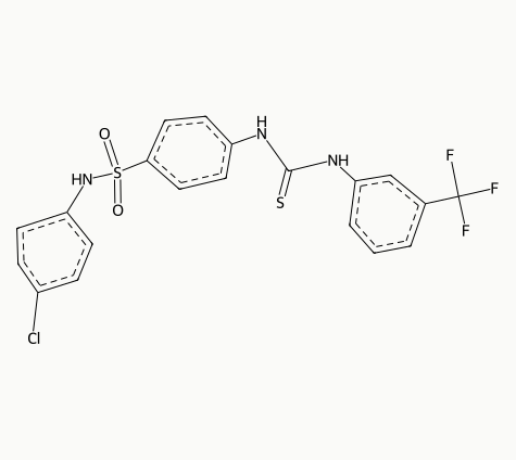 O=S(=O)(Nc1ccc(Cl)cc1)c1ccc(NC(=S)Nc2cccc(C(F)(F)F)c2)cc1